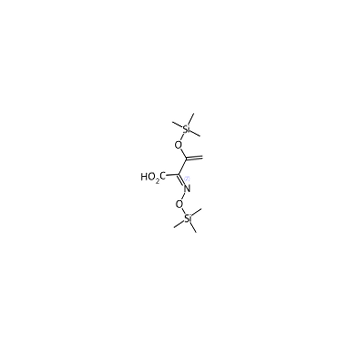 C=C(O[Si](C)(C)C)/C(=N/O[Si](C)(C)C)C(=O)O